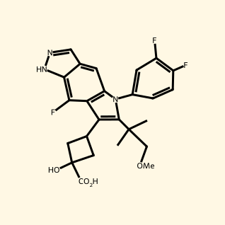 COCC(C)(C)c1c(C2CC(O)(C(=O)O)C2)c2c(F)c3[nH]ncc3cc2n1-c1ccc(F)c(F)c1